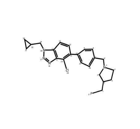 FCC1CCN(Cc2ccc(-c3ccc4c(nnn4CC4CC4)c3Cl)cc2)C1